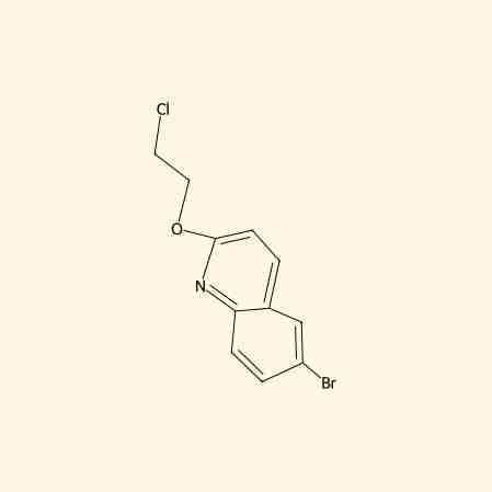 ClCCOc1ccc2cc(Br)ccc2n1